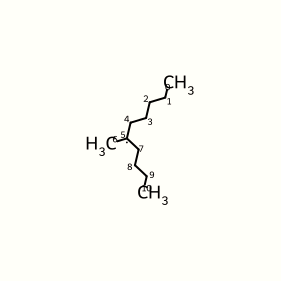 CCCCC[C](C)CCCC